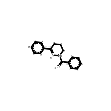 O=C(c1ccccc1)N1CCCC(c2ccccc2)=N1